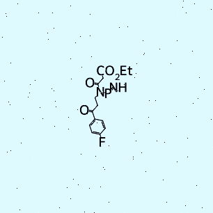 CCOC(=O)CC(=O)N(CCC(=O)c1ccc(F)cc1)P=N